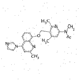 CC(=O)N(C)c1cc(C)c(COc2cccc3c(-n4ccnc4)cc(C)nc23)c(C)n1